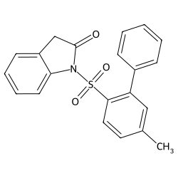 Cc1ccc(S(=O)(=O)N2C(=O)Cc3ccccc32)c(-c2ccccc2)c1